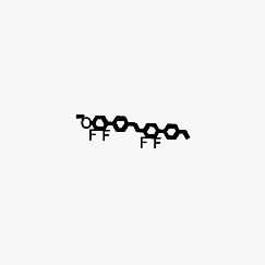 C=CC1=CCC(C2CC=C(/C=C/c3ccc(C4=CCC(OCC)C(F)=C4F)cc3)C(F)=C2F)C=C1